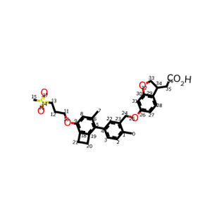 Cc1ccc(-c2c(C)cc(OCCCS(C)(=O)=O)c3c2CC3)cc1COc1ccc2c(c1)OCC2CC(=O)O